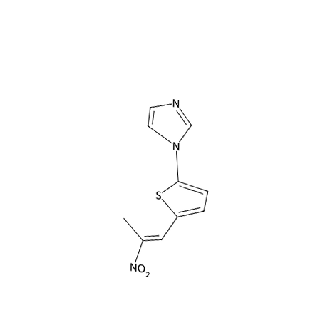 CC(=Cc1ccc(-n2ccnc2)s1)[N+](=O)[O-]